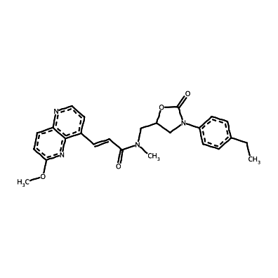 CCc1ccc(N2CC(CN(C)C(=O)C=Cc3ccnc4ccc(OC)nc34)OC2=O)cc1